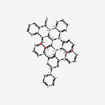 O=c1c2ccccc2c2ccc3c4c2n1-c1ccccc1B4c1ccccc1N3c1c(-c2ccccc2)cc(-c2ccccc2)cc1-c1ccccc1